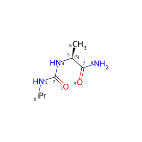 CC(C)NC(=O)N[C@@H](C)C(N)=O